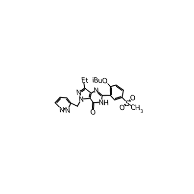 CCc1nn(Cc2cccnn2)c2c(=O)[nH]c(-c3cc(S(C)(=O)=O)ccc3OCC(C)C)nc12